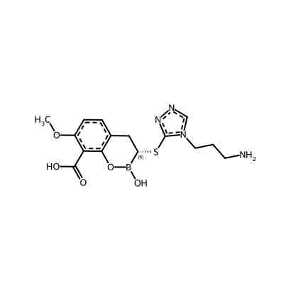 COc1ccc2c(c1C(=O)O)OB(O)[C@@H](Sc1nncn1CCCN)C2